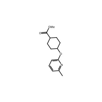 COC(=O)C1CCC(Oc2cccc(C)n2)CC1